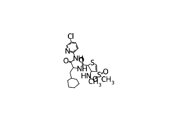 CNC1C(S(C)(=O)=O)=CSC1C(=O)NC(CC1CCCCC1)C(=O)Nc1ccc(Cl)cn1